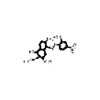 CN=Nc1c(S(=O)(=O)O)cc2c(N=Nc3ccc([SH](=O)=O)cc3S(=O)(=O)O)c(N)ccc2c1O